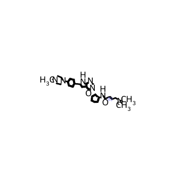 CN(C)C/C=C/C(=O)Nc1cccc(Oc2ncnc3[nH]c(-c4ccc(N5CCN(C)CC5)cc4)cc23)c1